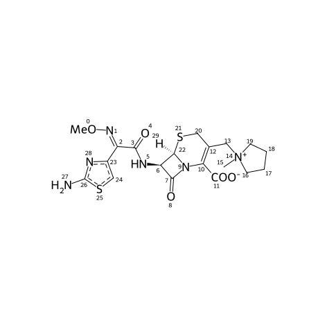 CO/N=C(/C(=O)N[C@@H]1C(=O)N2C(C(=O)[O-])=C(C[N+]3(C)CCCC3)CS[C@H]12)c1csc(N)n1